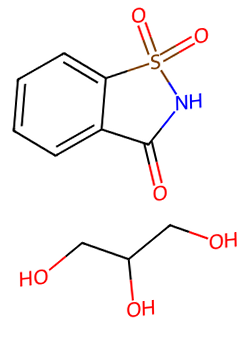 O=C1NS(=O)(=O)c2ccccc21.OCC(O)CO